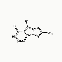 Cc1cn2c(Br)c3c(=O)[nH]ncc3c2s1